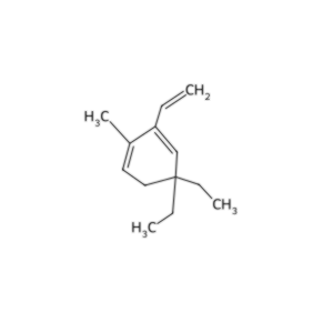 C=CC1=CC(CC)(CC)CC=C1C